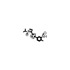 Cc1ccc(-c2noc(C3CCN3[S+]([O-])C(C)C)n2)cc1NC=O